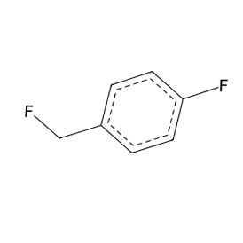 FCc1ccc(F)cc1